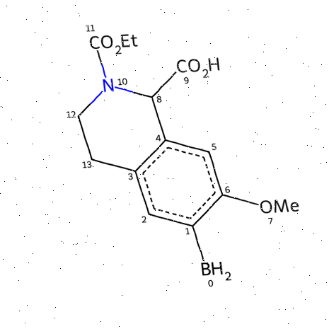 Bc1cc2c(cc1OC)C(C(=O)O)N(C(=O)OCC)CC2